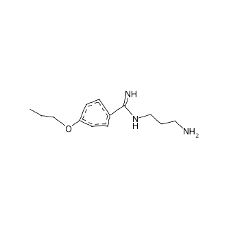 CCCOc1ccc(C(=N)NCCCN)cc1